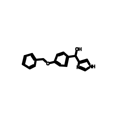 OC(c1ccc(OCc2ccccc2)cc1)c1c[nH]cn1